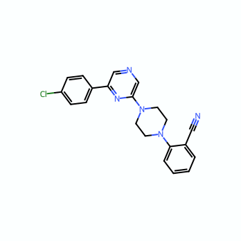 N#Cc1ccccc1N1CCN(c2cncc(-c3ccc(Cl)cc3)n2)CC1